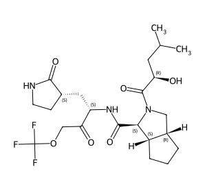 CC(C)C[C@@H](O)C(=O)N1C[C@@H]2CCC[C@@H]2[C@H]1C(=O)N[C@@H](C[C@@H]1CCNC1=O)C(=O)COC(F)(F)F